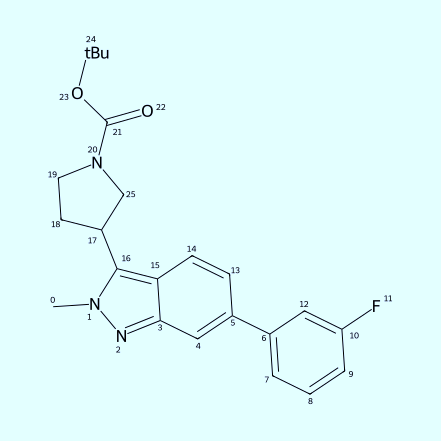 Cn1nc2cc(-c3cccc(F)c3)ccc2c1C1CCN(C(=O)OC(C)(C)C)C1